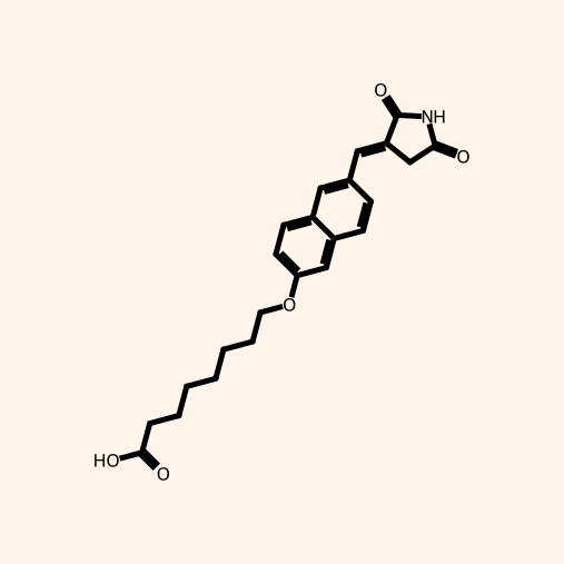 O=C(O)CCCCCCCOc1ccc2cc(/C=C3\CC(=O)NC3=O)ccc2c1